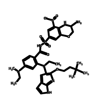 BC1COc2cc(S(=O)(=O)NC(=O)c3ccc(N(C)CC)cc3N(CC)c3cc4cc[nH]c4nc3OCCC(C)(C)C)cc([N+](=O)[O-])c2N1